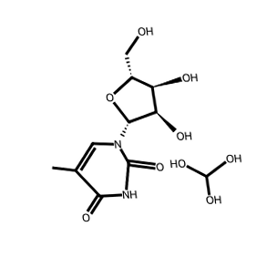 Cc1cn([C@@H]2O[C@H](CO)[C@@H](O)[C@H]2O)c(=O)[nH]c1=O.OC(O)O